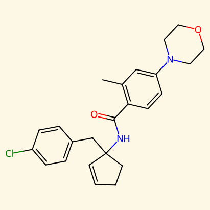 Cc1cc(N2CCOCC2)ccc1C(=O)NC1(Cc2ccc(Cl)cc2)C=CCC1